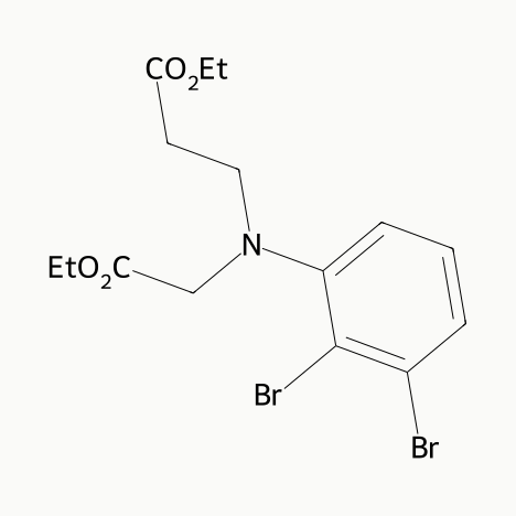 CCOC(=O)CCN(CC(=O)OCC)c1cccc(Br)c1Br